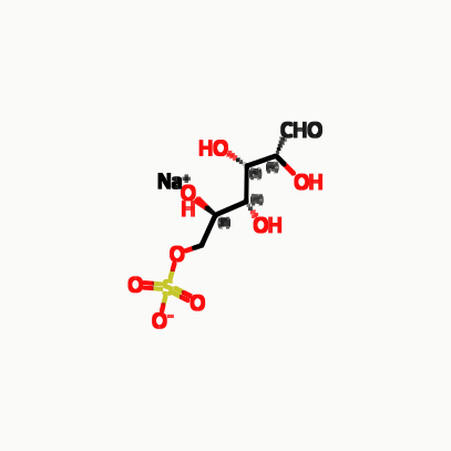 O=C[C@H](O)[C@@H](O)[C@H](O)[C@H](O)COS(=O)(=O)[O-].[Na+]